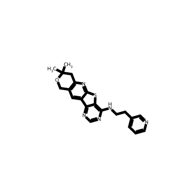 CC1(C)Cc2nc3sc4c(NCCc5cccnc5)ncnc4c3cc2CO1